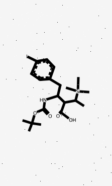 CC(C(C(=O)O)C(Cc1ccc(I)cc1)NC(=O)OC(C)(C)C)[Si](C)(C)C